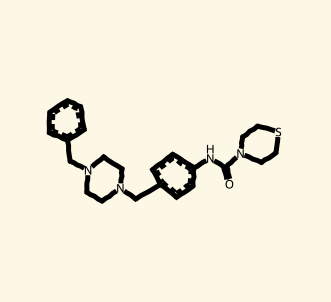 O=C(Nc1ccc(CN2CCN(Cc3ccccc3)CC2)cc1)N1CCSCC1